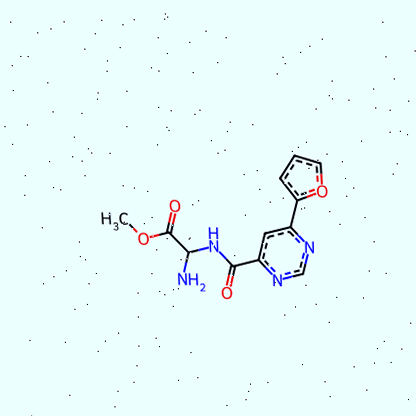 COC(=O)C(N)NC(=O)c1cc(-c2ccco2)ncn1